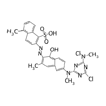 Cc1cc2cc(N(C)c3nc(Cl)nc(N(C)Cl)n3)ccc2c(O)c1N=Nc1ccc2c(C)cccc2c1S(=O)(=O)O